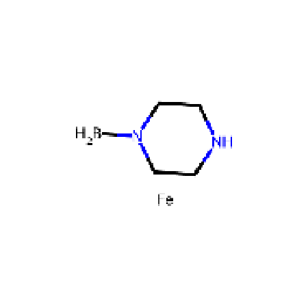 BN1CCNCC1.[Fe]